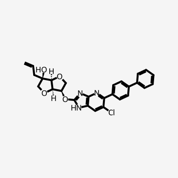 C=CC[C@@]1(O)CO[C@@H]2[C@H](Oc3nc4nc(-c5ccc(-c6ccccc6)cc5)c(Cl)cc4[nH]3)CO[C@@H]21